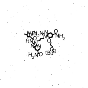 CCn1nc(C)cc1C(=O)Nc1nc2cc(C(N)=O)cnc2n1CC=CCn1c(N)nc2cc(C(N)=O)cc(OCCCO[Si](C)(C)C(C)(C)C)c21